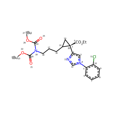 CCOC(=O)[C@]1(c2cn(-c3ccccc3Cl)cn2)CC1CCCN(C(=O)OC(C)(C)C)C(=O)OC(C)(C)C